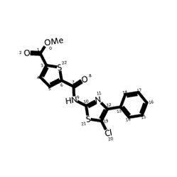 COC(=O)c1ccc(C(=O)Nc2nc(-c3ccccc3)c(Cl)s2)s1